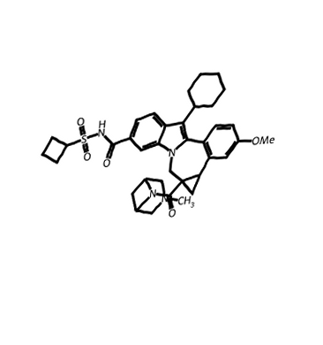 COc1ccc2c(c1)C1CC1(C(=O)N1C3CC1CN(C)C3)Cn1c-2c(C2CCCCC2)c2ccc(C(=O)NS(=O)(=O)C3CCC3)cc21